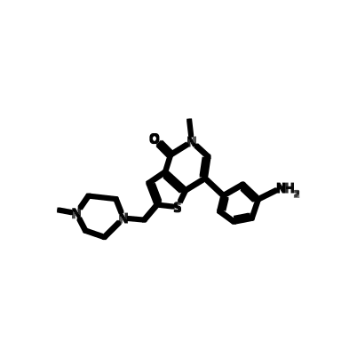 CN1CCN(Cc2cc3c(=O)n(C)cc(-c4cccc(N)c4)c3s2)CC1